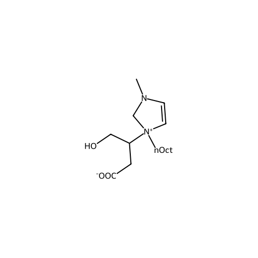 CCCCCCCC[N+]1(C(CO)CC(=O)[O-])C=CN(C)C1